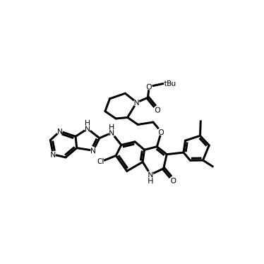 Cc1cc(C)cc(-c2c(OCCC3CCCCN3C(=O)OC(C)(C)C)c3cc(Nc4nc5cncnc5[nH]4)c(Cl)cc3[nH]c2=O)c1